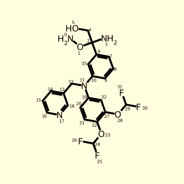 NOC(N)(CO)c1cccc(N(Cc2cccnc2)c2ccc(OC(F)F)c(OC(F)F)c2)c1